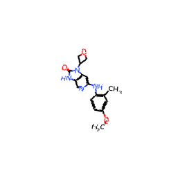 COc1ccc(Nc2cc3c(cn2)[nH]c(=O)n3C2COC2)c(C)c1